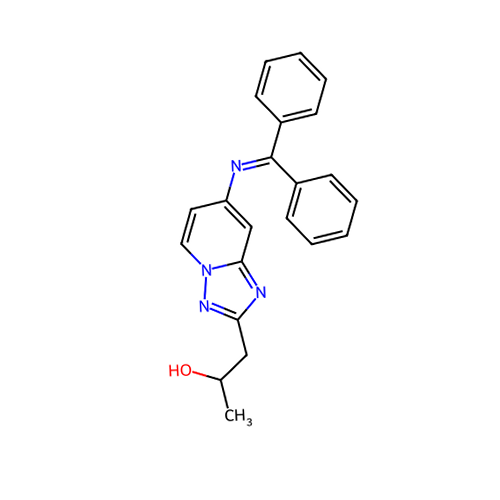 CC(O)Cc1nc2cc(N=C(c3ccccc3)c3ccccc3)ccn2n1